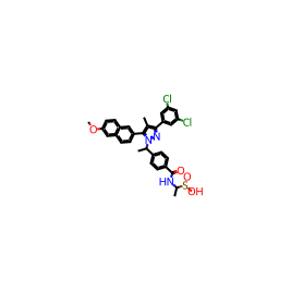 COc1ccc2cc(-c3c(C)c(-c4cc(Cl)cc(Cl)c4)nn3C(C)c3ccc(C(=O)NC(C)S(=O)O)cc3)ccc2c1